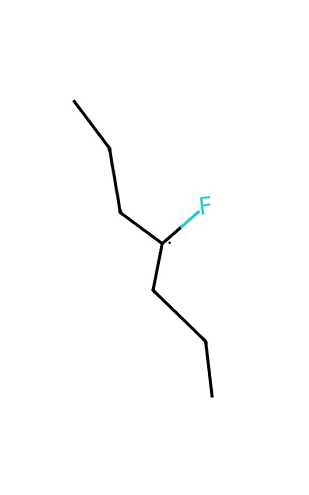 CCC[C](F)CCC